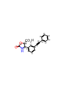 O=C1N[C@H](c2cccc(C#Cc3ccccc3)c2)[C@@H](C(=O)O)O1